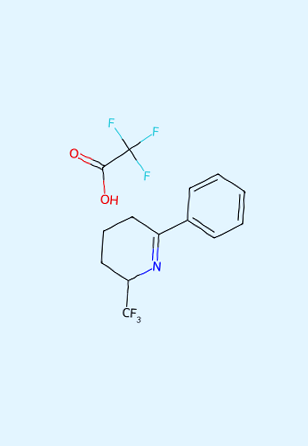 FC(F)(F)C1CCCC(c2ccccc2)=N1.O=C(O)C(F)(F)F